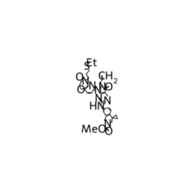 C=CCn1c(=O)c2cnc(Nc3ccc4c(c3)CN(C(=O)OC)CC43CC3)nc2n1-c1ccc2c(n1)N(CCCSCC)C(=O)CO2